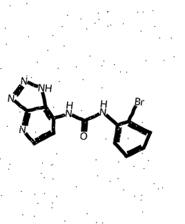 O=C(Nc1ccccc1Br)Nc1ccnc2nn[nH]c12